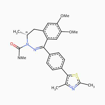 CNC(=O)N1N=C(c2ccc(-c3sc(C)nc3C)cc2)c2cc(OC)c(OC)cc2C[C@H]1C